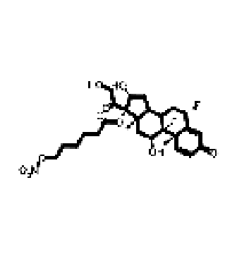 C[C@]12C=CC(=O)C=C1[C@@H](F)CC1C3C[C@@H](O)[C@](OC(=O)CCCCCO[N+](=O)[O-])(C(=O)CO)[C@@]3(C)C[C@H](O)[C@@]12F